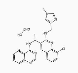 CC(Nc1ncnc2cccnc12)c1cc2cccc(Cl)c2nc1NCc1cn(C)cn1.O=CO